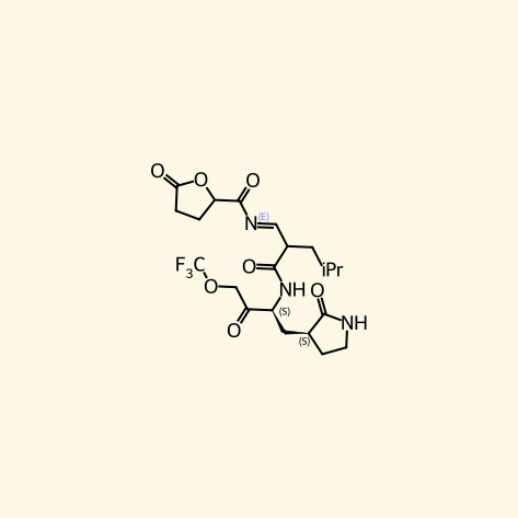 CC(C)CC(/C=N/C(=O)C1CCC(=O)O1)C(=O)N[C@@H](C[C@@H]1CCNC1=O)C(=O)COC(F)(F)F